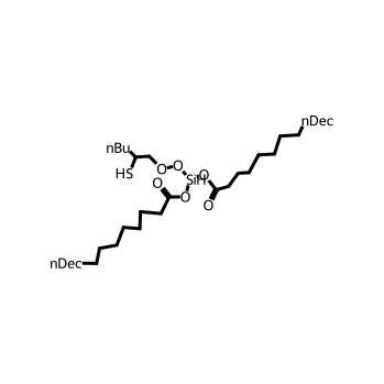 CCCCCCCCCCCCCCCCCC(=O)O[SiH](OOCC(S)CCCC)OC(=O)CCCCCCCCCCCCCCCCC